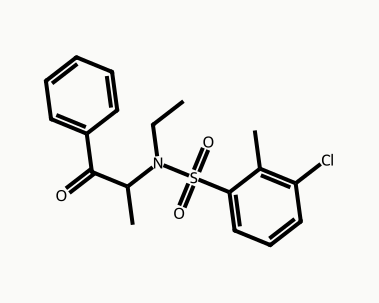 CCN(C(C)C(=O)c1ccccc1)S(=O)(=O)c1cccc(Cl)c1C